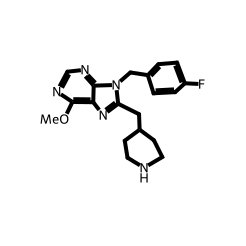 COc1ncnc2c1nc(CC1CCNCC1)n2Cc1ccc(F)cc1